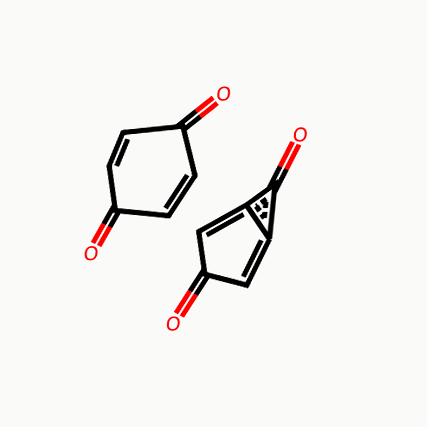 O=C1C=CC(=O)C=C1.O=C1C=c2c(=O)c2=C1